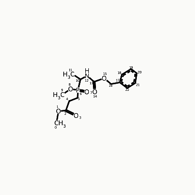 COC(=O)CCP(=O)(OC)C(C)NC(=O)OCc1ccccc1